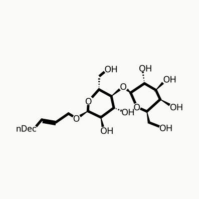 CCCCCCCCCC/C=C/CO[C@H]1O[C@H](CO)[C@@H](O[C@@H]2O[C@H](CO)[C@H](O)[C@H](O)[C@H]2O)[C@H](O)[C@H]1O